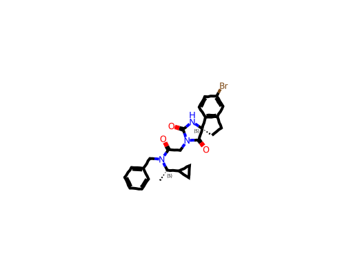 C[C@@H](C1CC1)N(Cc1ccccc1)C(=O)CN1C(=O)N[C@]2(CCc3cc(Br)ccc32)C1=O